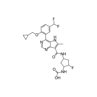 Cc1[nH]c2c(-c3cc(C(F)F)ccc3OCC3CC3)ncnc2c1C(=O)NC1CC(F)C(NC(=O)O)C1